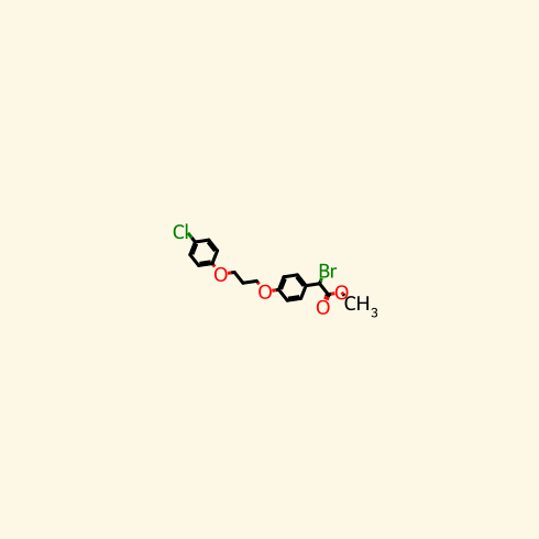 COC(=O)C(Br)c1ccc(OCCCOc2ccc(Cl)cc2)cc1